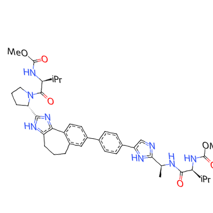 COC(=O)N[C@H](C(=O)N[C@@H](C)c1ncc(-c2ccc(-c3ccc4c(c3)CCCc3[nH]c([C@@H]5CCCN5C(=O)[C@@H](NC(=O)OC)C(C)C)nc3-4)cc2)[nH]1)C(C)C